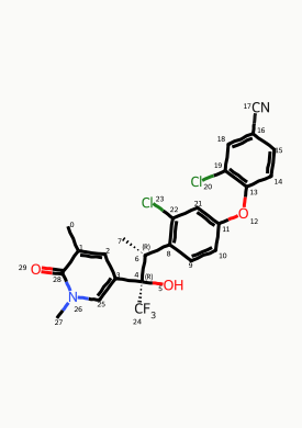 Cc1cc([C@](O)([C@H](C)c2ccc(Oc3ccc(C#N)cc3Cl)cc2Cl)C(F)(F)F)cn(C)c1=O